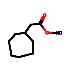 O=NOC(=O)CC1CCCCCC1